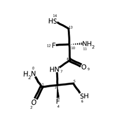 NC(=O)[C@@](F)(CS)NC(=O)[C@@](N)(F)CS